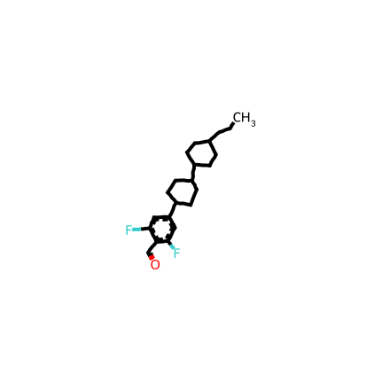 CCCC1CCC(C2CCC(c3cc(F)c(C=O)c(F)c3)CC2)CC1